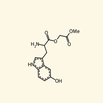 COC(=O)COC(=O)C(N)Cc1c[nH]c2ccc(O)cc12